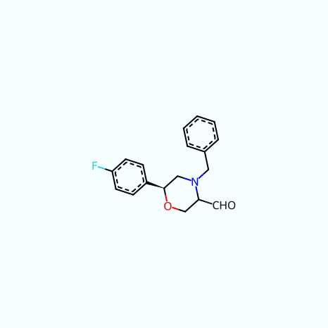 O=CC1CO[C@@H](c2ccc(F)cc2)CN1Cc1ccccc1